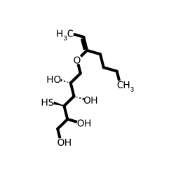 C/C=C(/CCCC)OC[C@@H](O)[C@H](O)[C@H](S)C(O)CO